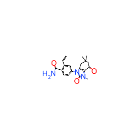 C=Cc1cc(-n2c3c(n(C)c2=O)C(=O)CC(C)(C)C3)ccc1C(N)=O